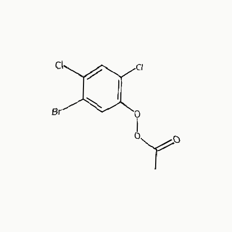 CC(=O)OOc1cc(Br)c(Cl)cc1Cl